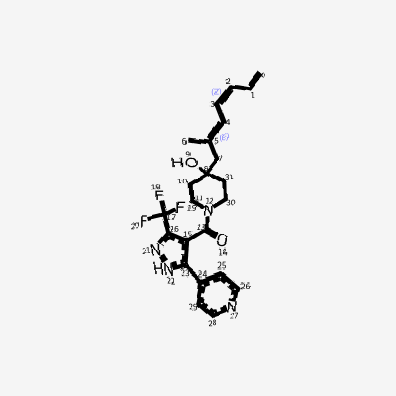 C=C/C=C\C=C(/C)CC1(O)CCN(C(=O)c2c(C(F)(F)F)n[nH]c2-c2ccncc2)CC1